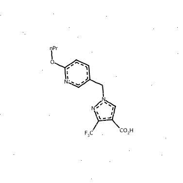 CCCOc1ccc(Cn2cc(C(=O)O)c(C(F)(F)F)n2)cn1